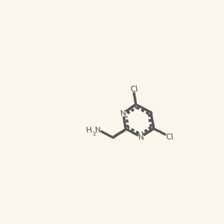 NCc1nc(Cl)cc(Cl)n1